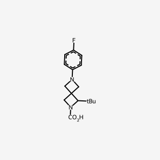 CC(C)(C)C1N(C(=O)O)CC12CN(c1ccc(F)cc1)C2